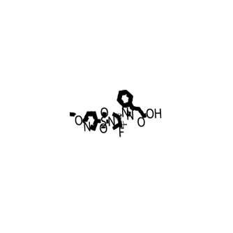 CCOc1ccc(S(=O)(=O)N2C[C@H](n3nc(CC(=O)O)c4ccccc43)[C@@](C)(F)C2)cn1